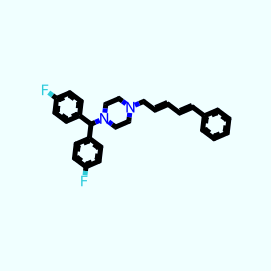 Fc1ccc(C(c2ccc(F)cc2)N2CCN(CC=CC=Cc3ccccc3)CC2)cc1